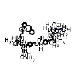 CN[C@H](C(=O)N[C@H](C(=O)N(C)[C@H](/C=C(\C)C(=O)O)C(C)C)C(C)(C)C)C(C)(C)c1ccc(NC(=O)OCc2ccc(NC(=O)[C@H](CCCNC(N)=O)NC(=O)[C@@H](NC(=O)CCC(=O)N3Cc4ccccc4CCc4ccccc43)C(C)C)cc2)cc1